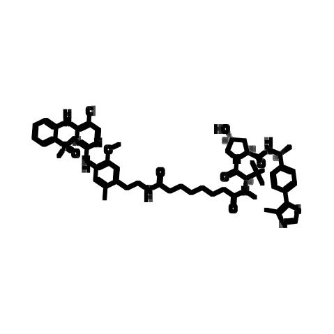 COc1cc(CCNC(=O)CCCCCCC(=O)N(C)[C@H](C(=O)N2C[C@H](O)C[C@H]2C(=O)N[C@@H](C)c2ccc(-c3scnc3C)cc2)C(C)(C)C)c(C)cc1Nc1ncc(Cl)c(Nc2ccccc2P(C)(C)=O)n1